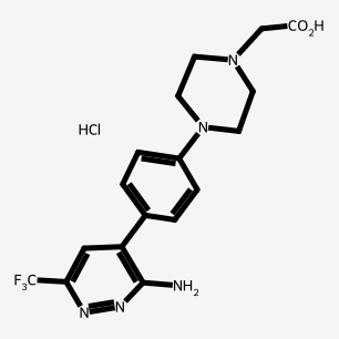 Cl.Nc1nnc(C(F)(F)F)cc1-c1ccc(N2CCN(CC(=O)O)CC2)cc1